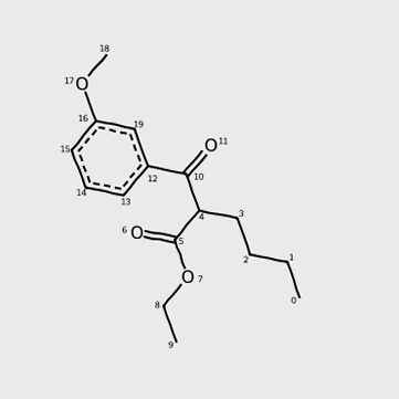 CCCCC(C(=O)OCC)C(=O)c1cccc(OC)c1